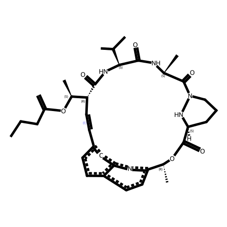 C=C(CCC)O[C@@H](C)[C@H]1/C=C/c2ccc3ccc(nc3c2)[C@@H](C)OC(=O)[C@@H]2CCCN(N2)C(=O)[C@H](C)NC(=O)[C@H](C(C)C)NC1=O